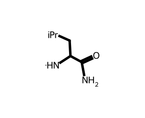 CC(C)CC([NH])C(N)=O